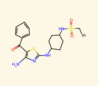 CC(C)CS(=O)(=O)NC1CCC(Nc2nc(N)c(C(=O)c3ccccc3)s2)CC1